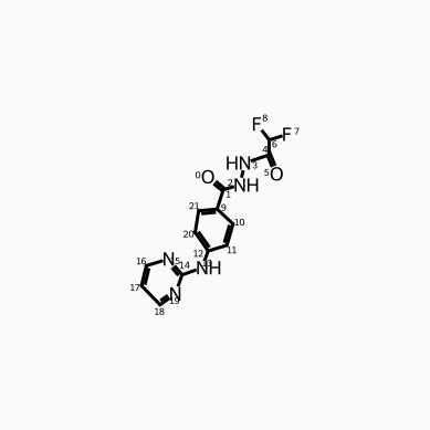 O=C(NNC(=O)C(F)F)c1ccc(Nc2ncccn2)cc1